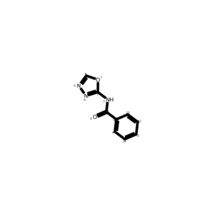 O=C(Nc1nnco1)c1ccccc1